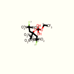 O=[N+]([O-])C(F)(CC(CC(F)([N+](=O)[O-])[N+](=O)[O-])(OC(O)(O)OCC(F)(F)F)C([N+](=O)[O-])([N+](=O)[O-])[N+](=O)[O-])[N+](=O)[O-]